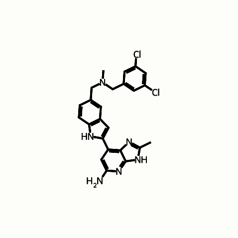 Cc1nc2c(-c3cc4cc(CN(C)Cc5cc(Cl)cc(Cl)c5)ccc4[nH]3)cc(N)nc2[nH]1